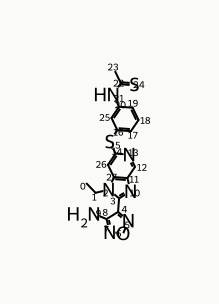 CCn1c(-c2nonc2N)nc2cnc(Sc3cccc(NC(C)=S)c3)cc21